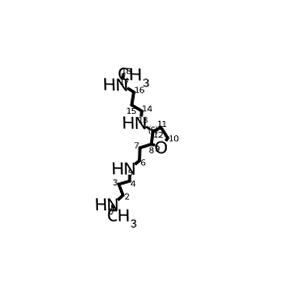 CNCCCNCCC1OCC[C@@H]1NCCCNC